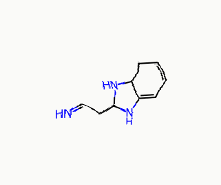 N=CCC1NC2=CC=CCC2N1